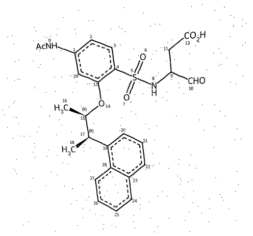 CC(=O)Nc1ccc(S(=O)(=O)NC(C=O)CC(=O)O)c(O[C@H](C)[C@H](C)c2cccc3ccccc23)c1